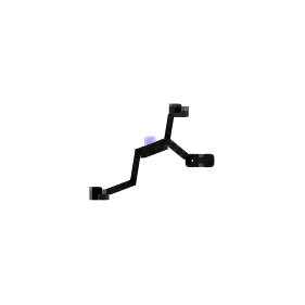 CCC(C)C/C=C(\C=O)C(C)CC